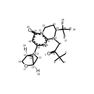 CC(C)(C)C(=O)CN1c2nc(N3C[C@@H]4C[C@H]3CO4)cc(=O)n2CC[C@H]1C(F)(F)F